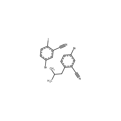 CC(C)Cc1ccc(Br)cc1C#N.N#Cc1cc(Br)ccc1I